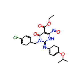 CCOC(=O)c1c(N=O)[nH]/c(=N\C2=CC=C(OC(C)C)CC2)n(CC2C=CC(Cl)=CC2)c1=O